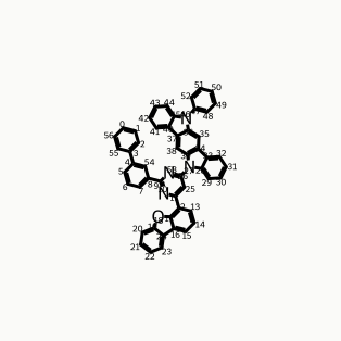 c1ccc(-c2cccc(-c3nc(-c4cccc5c4oc4ccccc45)cc(-n4c5ccccc5c5cc6c(cc54)c4ccccc4n6-c4ccccc4)n3)c2)cc1